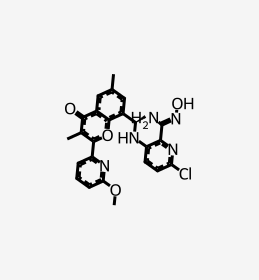 COc1cccc(-c2oc3c([C@@H](C)Nc4ccc(Cl)nc4/C(N)=N/O)cc(C)cc3c(=O)c2C)n1